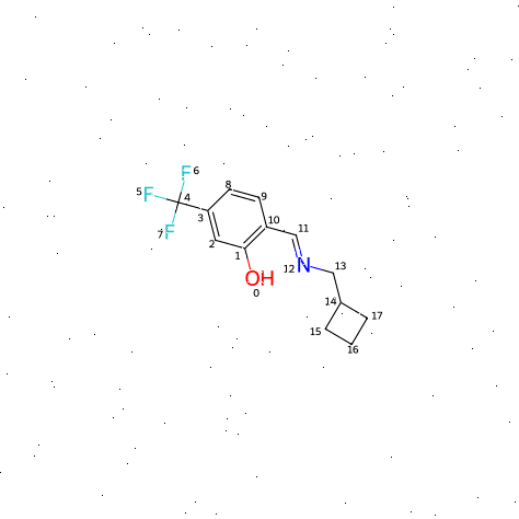 Oc1cc(C(F)(F)F)ccc1/C=N/CC1CCC1